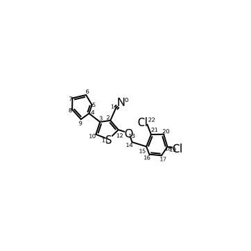 N#Cc1c(-c2ccccc2)csc1OCc1ccc(Cl)cc1Cl